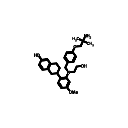 COc1ccc(C2CCc3cc(O)ccc3C2)c(N(CCO)Cc2ccc(OCC(C)(C)N)cc2)c1